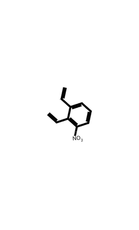 C=[C]c1cccc([N+](=O)[O-])c1C=C